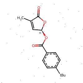 CC1=C[C@H](OC(=O)c2ccc(C(C)(C)C)cc2)OC1=O